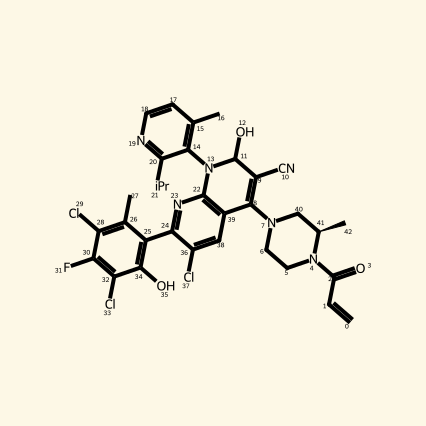 C=CC(=O)N1CCN(C2=C(C#N)C(O)N(c3c(C)ccnc3C(C)C)c3nc(-c4c(C)c(Cl)c(F)c(Cl)c4O)c(Cl)cc32)C[C@H]1C